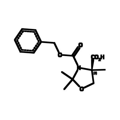 CC1(C)OC[C@](C)(C(=O)O)N1C(=O)OCc1ccccc1